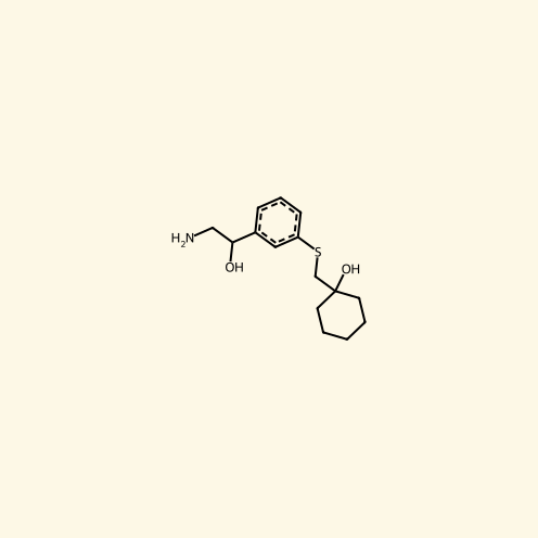 NCC(O)c1cccc(SCC2(O)CCCCC2)c1